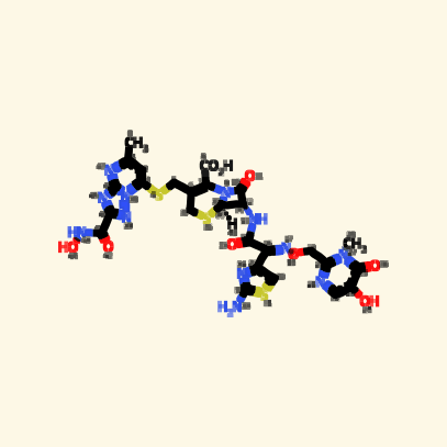 Cc1cc(SCC2=C(C(=O)O)N3C(=O)[C@@H](NC(=O)C(=NOCc4ncc(O)c(=O)n4C)c4csc(N)n4)[C@H]3SC2)n2nc(C(=O)NO)nc2n1